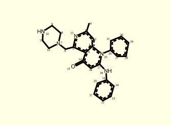 Cc1cc2c(c(CN3CCNCC3)n1)c(=O)cc(Nc1ccccc1)n2-c1ccccc1